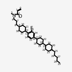 C=CC(=O)N(C)CCCC1CCC(c2ccc(C3CCC(C4CCC(CCCCC)CC4)CC3)cc2F)CC1